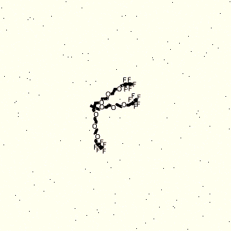 CC(COCCOCCOCC(F)(F)C(F)(F)F)(COCCOCCOCC(F)(F)C(F)(F)F)COCCOCCOCC(F)(F)C(F)(F)F